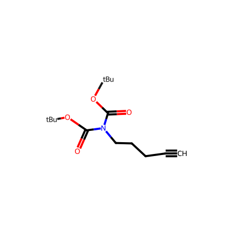 C#CCCCN(C(=O)OC(C)(C)C)C(=O)OC(C)(C)C